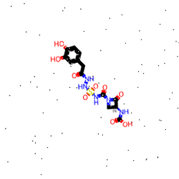 O=C(O)N[C@H]1CN(C(=O)NS(=O)(=O)NNC(=O)Cc2ccc(O)c(O)c2)C1=O